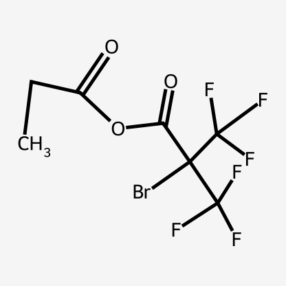 CCC(=O)OC(=O)C(Br)(C(F)(F)F)C(F)(F)F